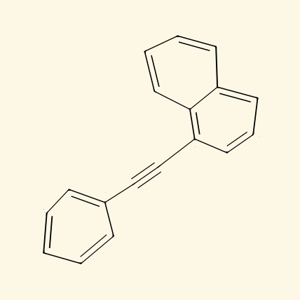 C(#Cc1cccc2[c]cccc12)c1ccccc1